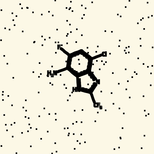 Nc1c(F)cc(Cl)c2nc(C(F)(F)F)[nH]c12